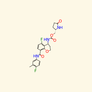 Cc1cc(NC(=O)c2ccc(F)c3c2OCC[C@@H]3NC(=O)OC[C@@H]2CCC(=O)N2)ccc1F